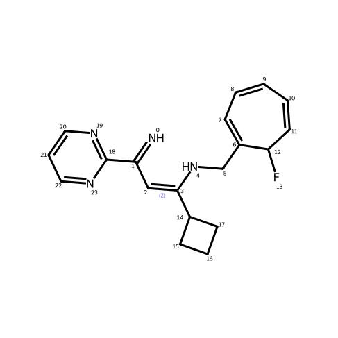 N=C(/C=C(\NCC1=CC=CC=CC1F)C1CCC1)c1ncccn1